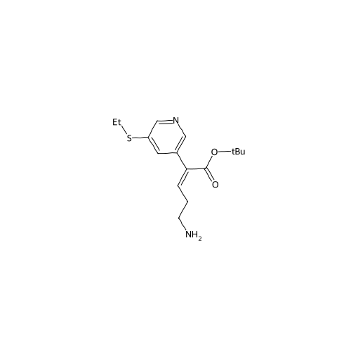 CCSc1cncc(C(=CCCN)C(=O)OC(C)(C)C)c1